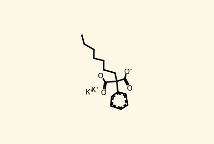 CCCCCCCC(C(=O)[O-])(C(=O)[O-])c1ccccc1.[K+].[K+]